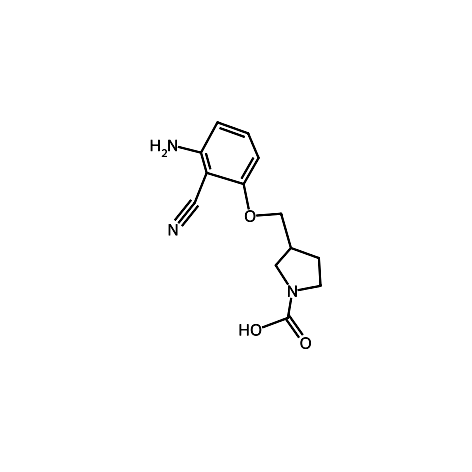 N#Cc1c(N)cccc1OCC1CCN(C(=O)O)C1